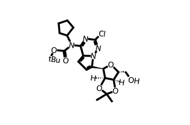 CC(C)(C)OC(=O)N(c1nc(Cl)nn2c([C@H]3O[C@H](CO)[C@H]4OC(C)(C)O[C@H]43)ccc12)C1CCCC1